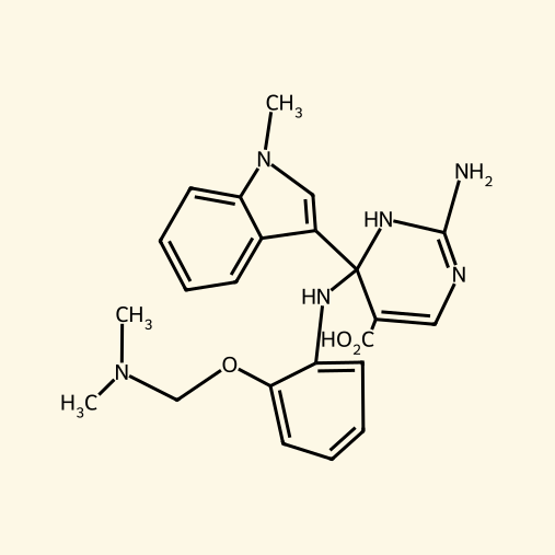 CN(C)COc1ccccc1NC1(c2cn(C)c3ccccc23)NC(N)=NC=C1C(=O)O